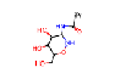 CC(C)C(=O)NC1NOC(CO)C(O)C1O